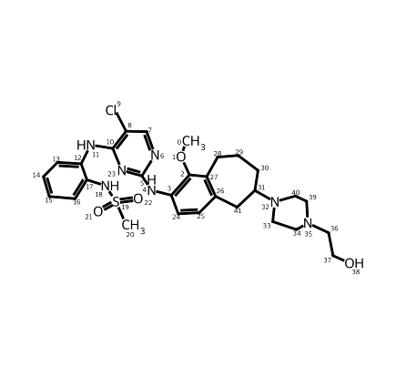 COc1c(Nc2ncc(Cl)c(Nc3ccccc3NS(C)(=O)=O)n2)ccc2c1CCCC(N1CCN(CCO)CC1)C2